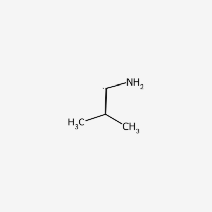 CC(C)[CH]N